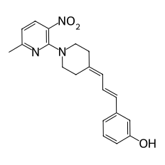 Cc1ccc([N+](=O)[O-])c(N2CCC(=CC=Cc3cccc(O)c3)CC2)n1